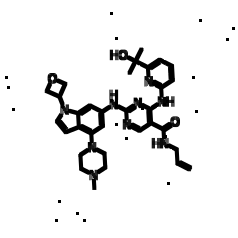 C=CCNC(=O)c1cnc(Nc2cc(N3CCN(C)CC3)c3ccn(C4COC4)c3c2)nc1Nc1cccc(C(C)(C)O)n1